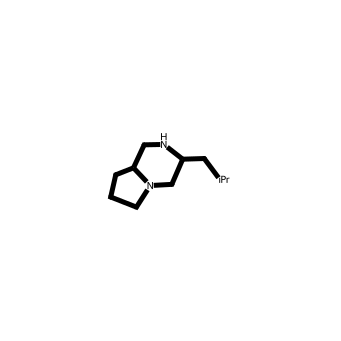 CC(C)CC1CN2CCCC2CN1